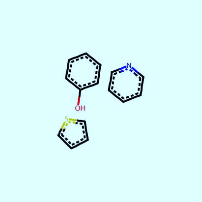 Oc1ccccc1.c1ccncc1.c1ccsc1